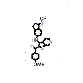 COc1ccc(C(=O)c2sc3cnccc3c2Nc2ccc3c(c2)CC/C3=N\O)cc1